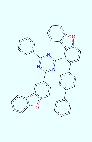 c1ccc(-c2ccc(-c3ccc4oc5ccccc5c4c3-c3nc(-c4ccccc4)nc(-c4ccc5oc6ccccc6c5c4)n3)cc2)cc1